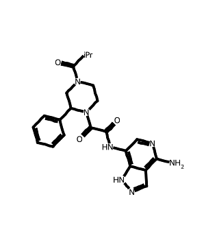 CC(C)C(=O)N1CCN(C(=O)C(=O)Nc2cnc(N)c3cn[nH]c23)C(c2ccccc2)C1